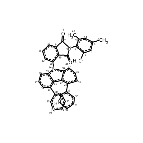 Cc1cc(C)c(N2C(=O)c3cccc(-n4c5cccc(-c6cccnc6)c5c5c(-c6cccnc6)cccc54)c3C2=O)c(C)c1